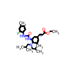 CCOC(=O)/C=C/c1ccc(N(CC(C)C)CC(C)C)c(NC(=O)Nc2ccc(C)cc2F)c1